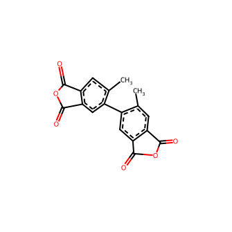 Cc1cc2c(cc1-c1cc3c(cc1C)C(=O)OC3=O)C(=O)OC2=O